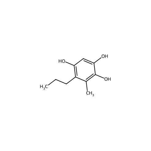 CCCc1c(O)cc(O)c(O)c1C